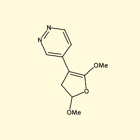 COC1=C(c2ccnnc2)CC(OC)O1